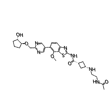 COc1c(-c2cnc(CO[C@H]3CCC[C@@H]3O)nc2)ccc2nc(NC(=O)[C@H]3C[C@@H](NCCNC(C)=O)C3)sc12